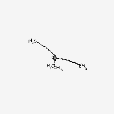 CCCCCC=CCC=CCCCCCCCCN(CCCCCCCCC=CCC=CCCCCC)C(=O)OCCCCN(C)C